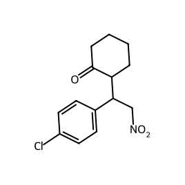 O=C1CCCCC1C(C[N+](=O)[O-])c1ccc(Cl)cc1